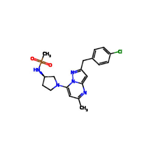 Cc1cc(N2CC[C@@H](NS(C)(=O)=O)C2)n2nc(Cc3ccc(Cl)cc3)cc2n1